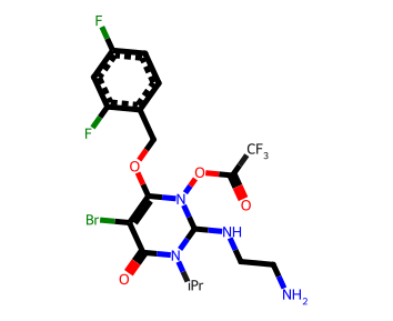 CC(C)N1C(=O)C(Br)=C(OCc2ccc(F)cc2F)N(OC(=O)C(F)(F)F)C1NCCN